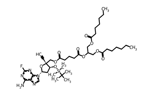 C#C[C@]1(COC(=O)CCCC(=O)OC(COC(=O)CCCCCC)COC(=O)CCCCCC)O[C@@H](n2cnc3c(N)nc(F)nc32)C[C@@H]1O[Si](C)(C)C(C)(C)C